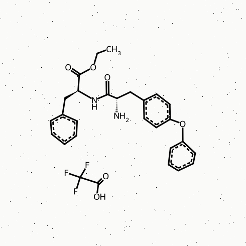 CCOC(=O)[C@H](Cc1ccccc1)NC(=O)[C@@H](N)Cc1ccc(Oc2ccccc2)cc1.O=C(O)C(F)(F)F